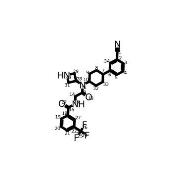 N#Cc1cccc(C2CCC(N(C(=O)CNC(=O)c3cccc(C(F)(F)F)c3)C3CNC3)CC2)c1